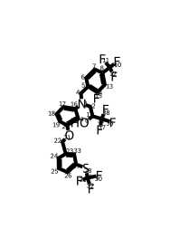 OC(CN(Cc1ccc(C(F)(F)F)cc1F)c1cccc(OCc2cccc(SC(F)(F)F)c2)c1)C(F)(F)F